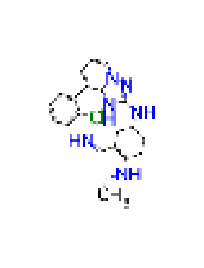 CCNC1=C(C=N)CC(NC2=NN3C=CC=C(c4ccccc4Cl)C3N2)CC1